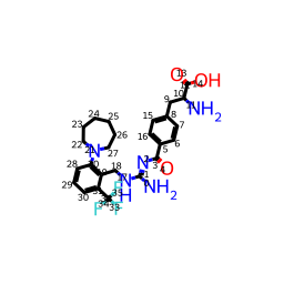 NC(=NC(=O)c1ccc(CC(N)C(=O)O)cc1)NCc1c(N2CCCCCC2)cccc1C(F)(F)F